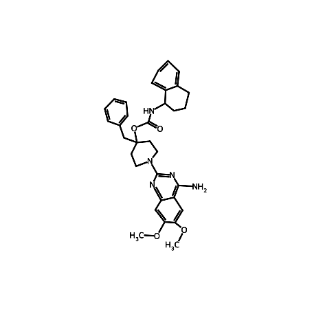 COc1cc2nc(N3CCC(Cc4ccccc4)(OC(=O)NC4CCCc5ccccc54)CC3)nc(N)c2cc1OC